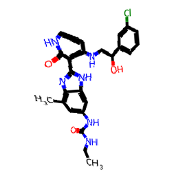 CCNC(=O)Nc1cc(C)c2nc(-c3c(NCC(O)c4cccc(Cl)c4)cc[nH]c3=O)[nH]c2c1